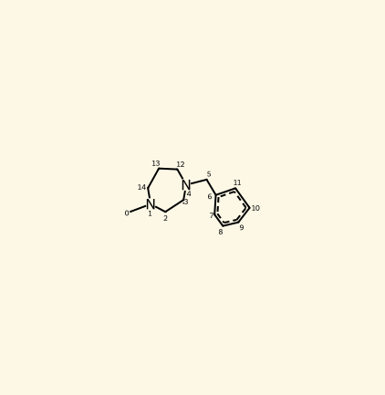 CN1C[CH]N(Cc2ccccc2)CCC1